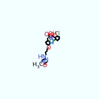 CN1CC(NCCCCOc2ccc(C[C@H](NC(=O)c3c(Cl)cccc3Cl)C(=O)O)cc2)=NCC1=O